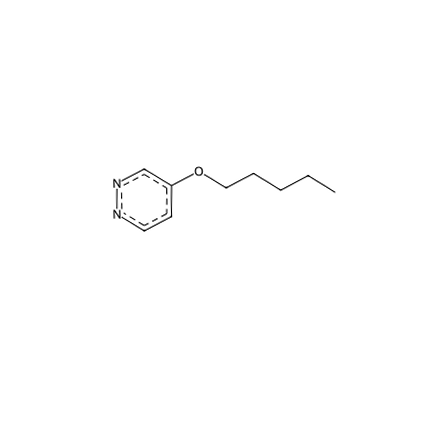 CCCCCOc1ccnnc1